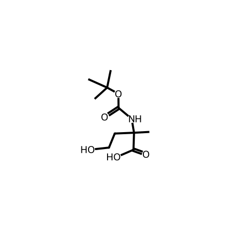 CC(C)(C)OC(=O)NC(C)(CCO)C(=O)O